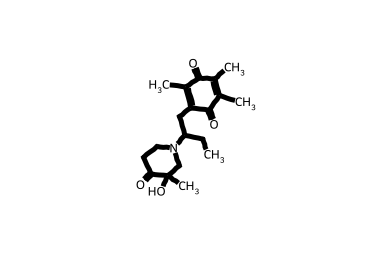 CCC(CC1=C(C)C(=O)C(C)=C(C)C1=O)N1CCC(=O)C(C)(O)C1